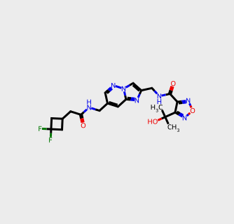 CC(C)(O)c1nonc1C(=O)NCc1cn2ncc(CNC(=O)CC3CC(F)(F)C3)cc2n1